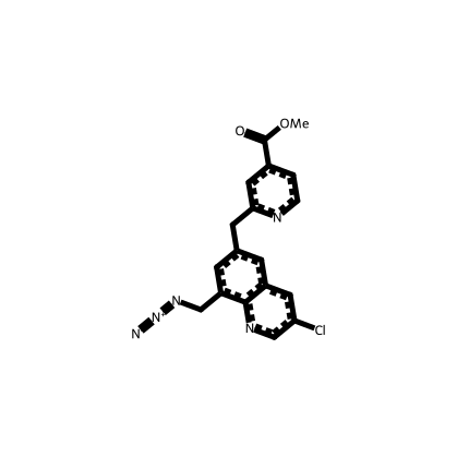 COC(=O)c1ccnc(Cc2cc(CN=[N+]=[N-])c3ncc(Cl)cc3c2)c1